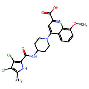 COc1cccc2c(N3CCC(NC(=O)c4[nH]c(C)c(Cl)c4Cl)CC3)cc(C(=O)O)nc12